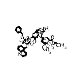 CCOC(=O)CC[C@@H](CC(C)C)NC(=O)[C@H](Cc1c[nH]cn1)NC(=O)[C@@H](Cc1cccc2ncccc12)NC(=O)OCc1ccccc1